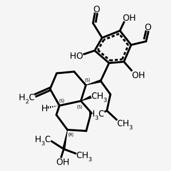 C=C1CC[C@@H](C(CC(C)C)c2c(O)c(C=O)c(O)c(C=O)c2O)[C@]2(C)CC[C@@H](C(C)(C)O)C[C@@H]12